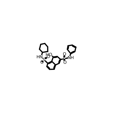 O=S(=O)(Nc1ccccc1)c1cc(O)c2c(S(=O)(=O)NC3CCCCC3)cccc2c1